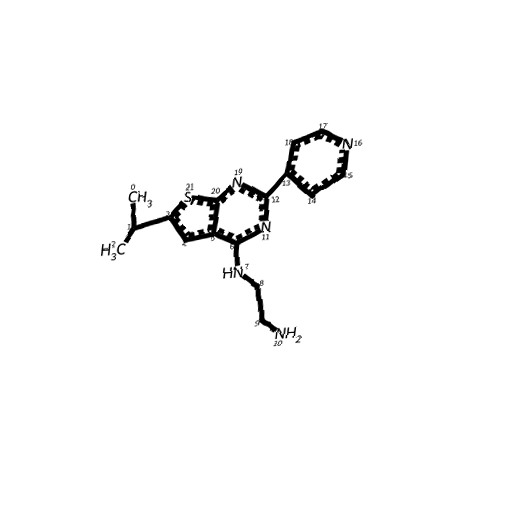 CC(C)c1cc2c(NCCN)nc(-c3ccncc3)nc2s1